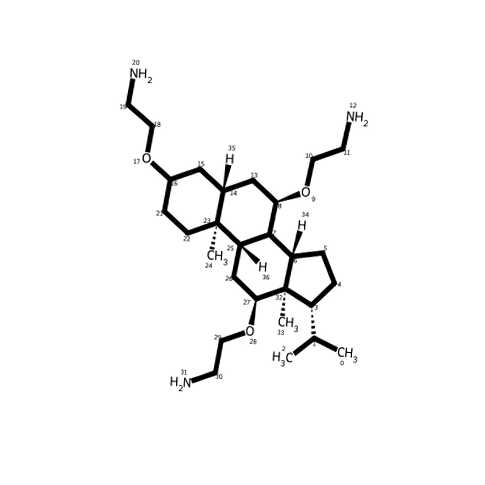 CC(C)[C@H]1CC[C@H]2C3[C@H](OCCN)C[C@H]4CC(OCCN)CC[C@]4(C)[C@H]3C[C@H](OCCN)[C@]12C